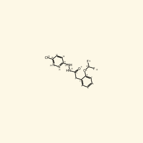 O=C(Cc1ccccc1OC(F)F)NNc1ccc(Cl)nn1